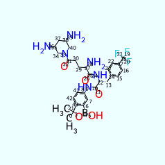 CC1(C)OB(O)c2cc(NC(=O)[C@@H](Cc3ccc(C(F)(F)F)cc3)NC(=O)[C@@H](N)CCC(=O)N3C[C@@H](N)C[C@H](N)C3)ccc21